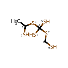 CC(S)SC(S)(S)SCS